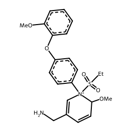 CCS(=O)(=O)[N+]1(c2ccc(Oc3ccccc3OC)cc2)C=C(CN)C=CC1OC